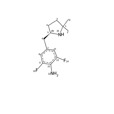 CC1(C)CC[C@H](Cc2cc(F)c(N)c(F)c2)N1